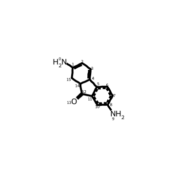 NC1=CC=C2c3ccc(N)cc3C(=O)C2C1